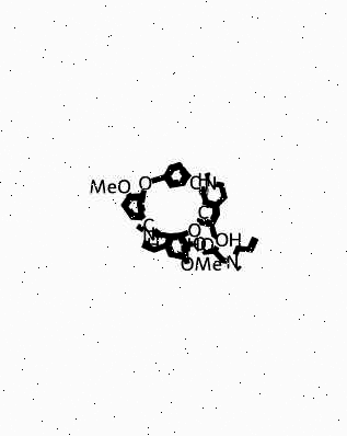 C=CCN(C)CC(O)COc1c(OC)cc2c3c1Oc1cc4c(cc1CO)CCN(C)[C@H]4Cc1ccc(cc1)Oc1cc(ccc1OC)C[C@@H]3N(C)CC2